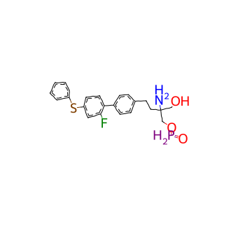 NC(CO)(CCc1ccc(-c2ccc(Sc3ccccc3)cc2F)cc1)CO[PH2]=O